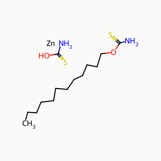 CCCCCCCCCCCCOC(N)=S.NC(O)=S.[Zn]